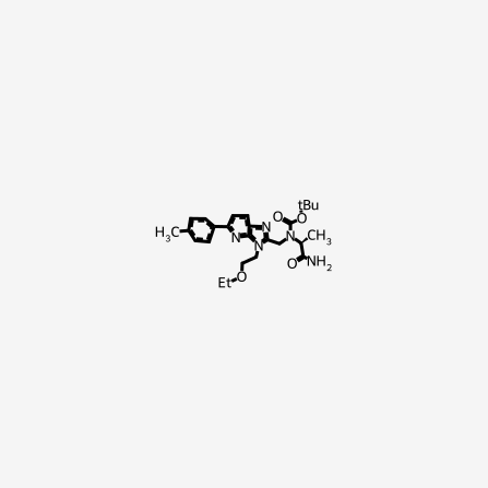 CCOCCn1c(CN(C(=O)OC(C)(C)C)[C@@H](C)C(N)=O)nc2ccc(-c3ccc(C)cc3)nc21